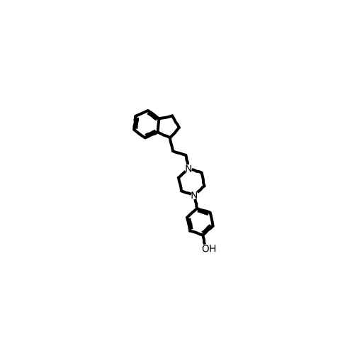 Oc1ccc(N2CCN(CCC3CCc4ccccc43)CC2)cc1